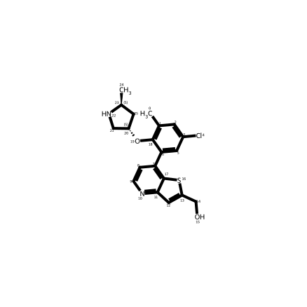 Cc1cc(Cl)cc(-c2ccnc3cc(CO)sc23)c1O[C@@H]1CN[C@@H](C)C1